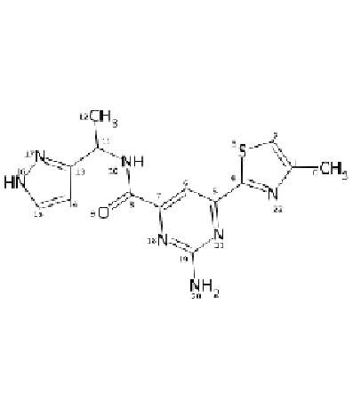 Cc1csc(-c2cc(C(=O)NC(C)c3cc[nH]n3)nc(N)n2)n1